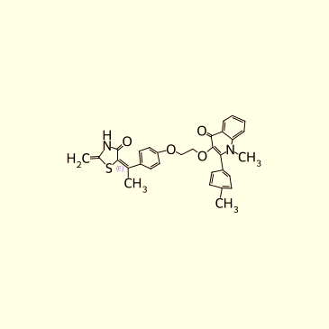 C=c1[nH]c(=O)/c(=C(/C)c2ccc(OCCOc3c(-c4ccc(C)cc4)n(C)c4ccccc4c3=O)cc2)s1